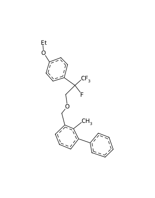 CCOc1ccc(C(F)(COCc2cccc(-c3ccccc3)c2C)C(F)(F)F)cc1